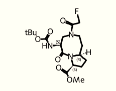 COC(=O)[C@@H]1CC[C@@H]2CCN(C(=O)CF)C[C@H](NC(=O)OC(C)(C)C)C(=O)N21